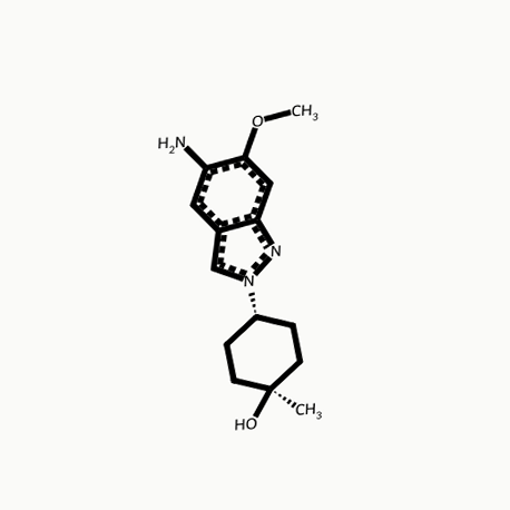 COc1cc2nn([C@H]3CC[C@](C)(O)CC3)cc2cc1N